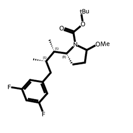 COC1CC[C@H]([C@@H](C)[C@@H](C)Cc2cc(F)cc(F)c2)N1C(=O)OC(C)(C)C